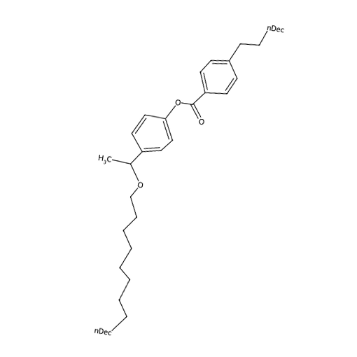 CCCCCCCCCCCCCCCCCCOC(C)c1ccc(OC(=O)c2ccc(CCCCCCCCCCCC)cc2)cc1